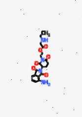 CCNCC(=O)OCCN1C(=O)CCC(N2C(=O)c3cccc(N)c3C2=O)C1=O